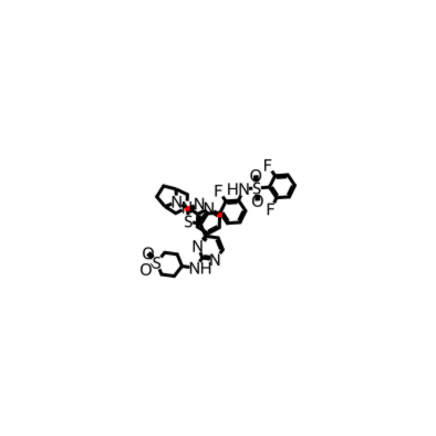 O=S1(=O)CCC(Nc2nccc(-c3sc(N4C5CCC4CN(c4ccccn4)C5)nc3-c3cccc(NS(=O)(=O)c4c(F)cccc4F)c3F)n2)CC1